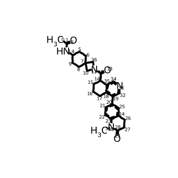 CC(=O)NC1CCC2(CC1)CN(C(=O)C1CCCc3c(-c4ccc5c(c4)CCC(=O)N5C)cncc31)C2